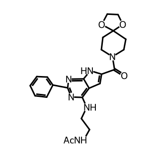 CC(=O)NCCNc1nc(-c2ccccc2)nc2[nH]c(C(=O)N3CCC4(CC3)OCCO4)cc12